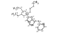 CCC[CH2][Sn]([CH2]CCC)([CH2]CCC)[c]1cn2cnc(Sc3ccccn3)c2s1